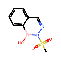 CS(=O)(=O)N1N=Cc2ccccc2B1O